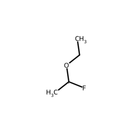 CCO[C](C)F